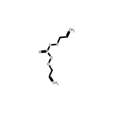 C=CCOO[P](=O)OOCC=C